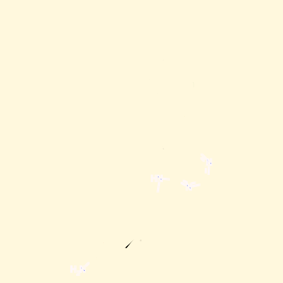 NS(=O)(=O)OC[C@@H]1CCC(Nc2ncncc2C(=O)c2cc(C(O)c3cccc(Cl)c3F)c(Cl)s2)C1